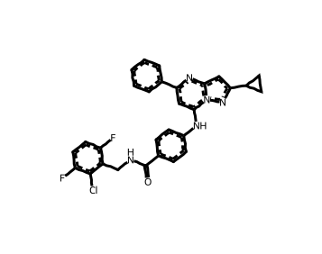 O=C(NCc1c(F)ccc(F)c1Cl)c1ccc(Nc2cc(-c3ccccc3)nc3cc(C4CC4)nn23)cc1